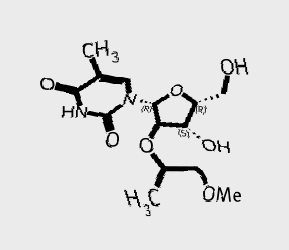 COCC(C)OC1[C@@H](O)[C@@H](CO)O[C@H]1n1cc(C)c(=O)[nH]c1=O